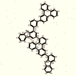 c1cc(-c2ccc3c4ccccc4c4ccccc4c3c2)cc(-c2cc(-c3cccc4c5cc(-c6cccc7c6sc6ccccc67)ccc5c5ccccc5c34)cc3c2sc2ccccc23)c1